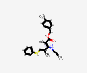 C=CCN/C(=C(/C(C)=O)C(=O)OCc1ccc([N+](=O)[O-])cc1)C(C)CSc1ccccc1